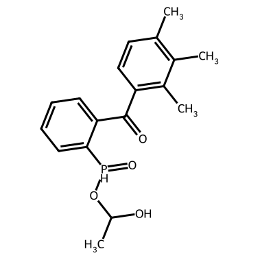 Cc1ccc(C(=O)c2ccccc2[PH](=O)OC(C)O)c(C)c1C